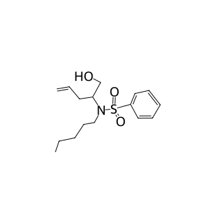 C=CCC(CO)N(CCCCC)S(=O)(=O)c1ccccc1